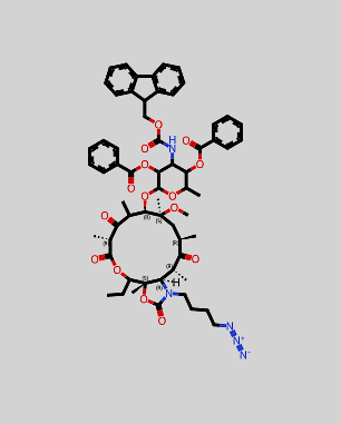 CCC1OC(=O)[C@H](C)C(=O)C(C)[C@@H](OC2OC(C)C(OC(=O)c3ccccc3)C(NC(=O)OCC3c4ccccc4-c4ccccc43)C2OC(=O)c2ccccc2)[C@@](C)(OC)C[C@@H](C)C(=O)[C@H](C)[C@H]2N(CCCCN=[N+]=[N-])C(=O)O[C@]12C